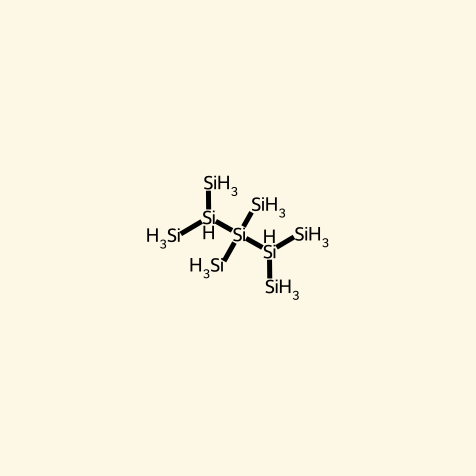 [SiH3][SiH]([SiH3])[Si]([SiH3])([SiH3])[SiH]([SiH3])[SiH3]